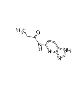 CCC(=O)Nc1ccc2[nH]cnc2n1